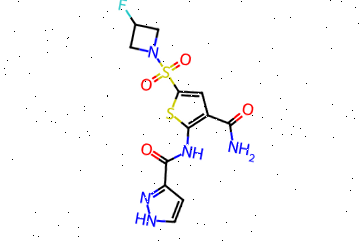 NC(=O)c1cc(S(=O)(=O)N2CC(F)C2)sc1NC(=O)c1cc[nH]n1